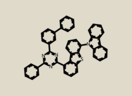 c1ccc(-c2cccc(-c3nc(-c4ccccc4)nc(-c4cccc5sc6c(-n7c8ccccc8c8ccccc87)cccc6c45)n3)c2)cc1